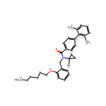 [2H]C1(N(Cc2ccccc2OCCCCCC(=O)O)C(=O)c2ccc(-c3c(C)cccc3C)cc2)CC1